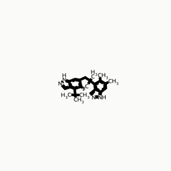 Cc1cc2[nH]ncc2c(C(C)(C)Cc2cc3[nH]ncc3c(C(C)(C)C)c2F)c1C